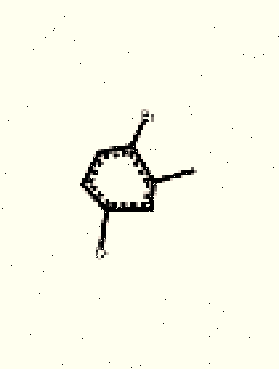 Cc1cc([O])ccc1Br